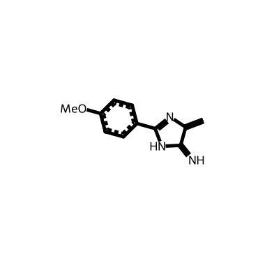 C=C1N=C(c2ccc(OC)cc2)NC1=N